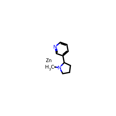 CN1CCCC1c1cccnc1.[Zn]